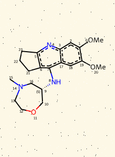 COc1cc2nc3c(c(N[C@@H]4COCCN(C)C4)c2cc1OC)CCC3